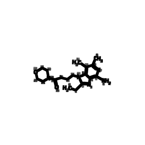 CCc1nc2c(N)nc(C)c(C)c2n1CCCC(=O)N1CCOCC1